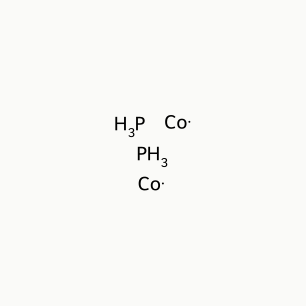 P.P.[Co].[Co]